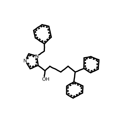 OC(CCCC(c1ccccc1)c1ccccc1)c1cncn1Cc1ccccc1